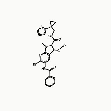 CCc1nc2c(cc1NC(=O)c1ccccc1)C(OC(C)C)C(C(=O)NCC1(c3cccs3)CC1)N2C